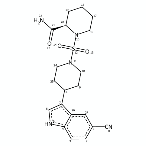 N#Cc1ccc2[nH]cc(C3CCN(S(=O)(=O)N4CCCC[C@@H]4C(N)=O)CC3)c2c1